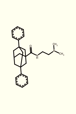 CN(C)CCNC(=O)C12CC3CC(c4ccccc4)(C1)CC(c1ccccc1)(C3)C2